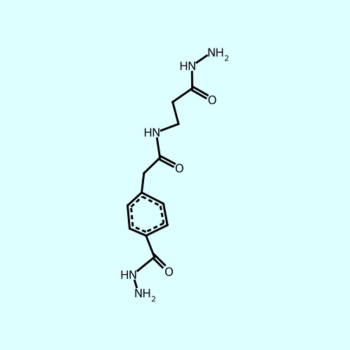 NNC(=O)CCNC(=O)Cc1ccc(C(=O)NN)cc1